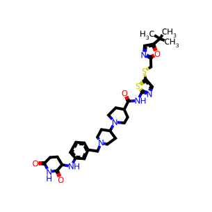 CC(C)(C)c1cnc(CSc2cnc(NC(=O)C3CCN(C4CCN(Cc5cccc(NC6CCC(=O)NC6=O)c5)CC4)CC3)s2)o1